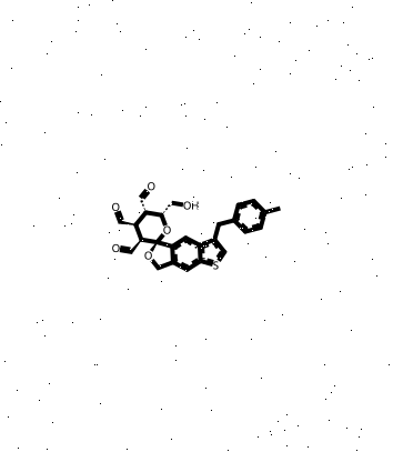 Cc1ccc(Cc2csc3cc4c(cc23)[C@@]2(OC4)O[C@@H](CO)[C@@H](C=O)[C@H](C=O)[C@@H]2C=O)cc1